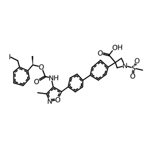 Cc1noc(-c2ccc(-c3ccc(C4(C(=O)O)CN(S(C)(=O)=O)C4)cc3)cc2)c1NC(=O)O[C@H](C)c1ccccc1CI